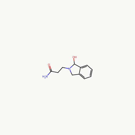 NC(=O)CCN1Cc2ccccc2C1O